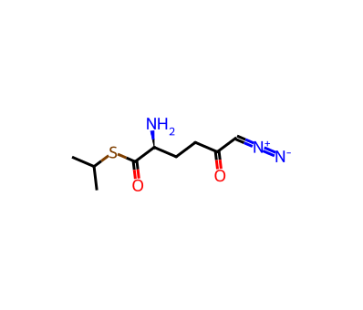 CC(C)SC(=O)[C@@H](N)CCC(=O)C=[N+]=[N-]